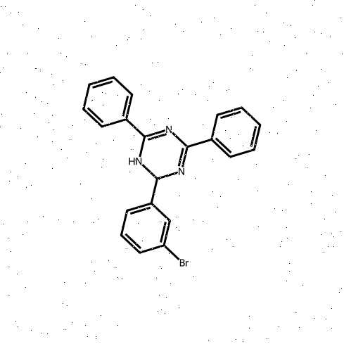 Brc1cccc(C2N=C(c3ccccc3)N=C(c3ccccc3)N2)c1